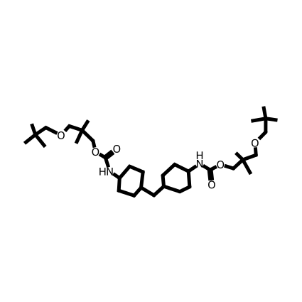 CC(C)(C)COCC(C)(C)COC(=O)NC1CCC(CC2CCC(NC(=O)OCC(C)(C)COCC(C)(C)C)CC2)CC1